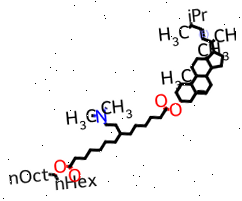 CCCCCCCCC(CCCCCC)OC(=O)CCCCCCC(CCCCCC(=O)OC1CCC2(C)C(=CCC3C2CCC2(C)C(C(C)/C=C/C(C)C(C)C)CCC32)C1)CCN(C)C